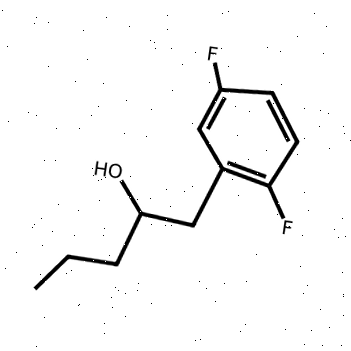 CCCC(O)Cc1cc(F)ccc1F